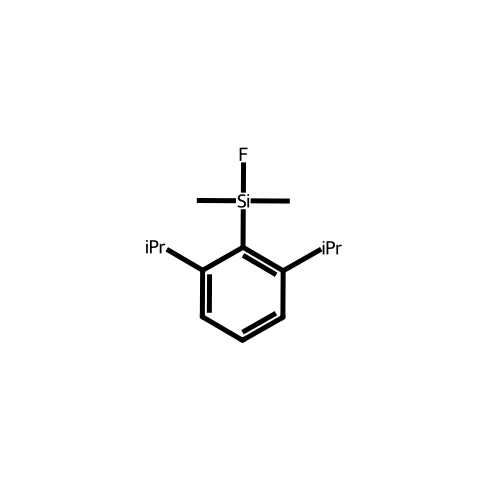 CC(C)c1cccc(C(C)C)c1[Si](C)(C)F